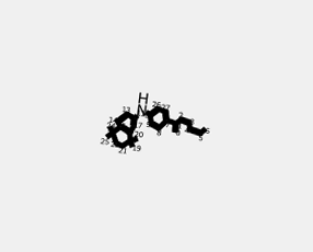 C=C(/C=C\C=C/C)c1ccc(Nc2ccc3c(c2)C(C)(C)CCC3(C)C)cc1